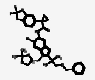 CC1(C)OC[C@@H](Cn2c(C(C)(C)COCc3ccccc3)cc3cc(NC(=O)C4(c5ccc6c(c5)OC(F)(F)O6)CC4)c(F)cc32)O1